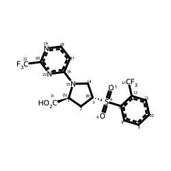 O=C(O)[C@@H]1C[C@@H](S(=O)(=O)c2ccccc2C(F)(F)F)CN1c1ccnc(C(F)(F)F)n1